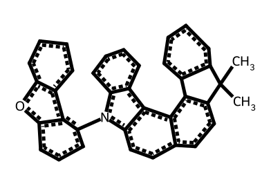 CC1(C)c2ccccc2-c2c1ccc1ccc3c(c4ccccc4n3-c3cccc4oc5ccccc5c34)c21